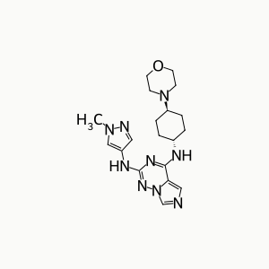 Cn1cc(Nc2nc(N[C@H]3CC[C@H](N4CCOCC4)CC3)c3cncn3n2)cn1